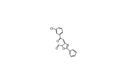 O=CC1OC(c2ccccc2)=N/C1=C/C(=O)c1cccc(Cl)c1